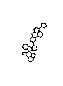 c1ccc(-c2ccc3c4c(cccc24)-c2cc(-c4cccc5c4-c4ccccc4C54c5ccccc5-c5cccc6cccc4c56)ccc2O3)cc1